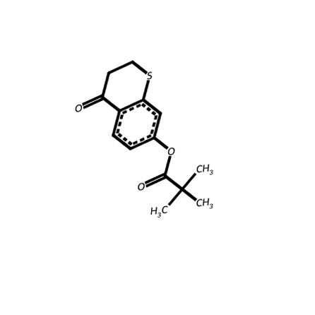 CC(C)(C)C(=O)Oc1ccc2c(c1)SCCC2=O